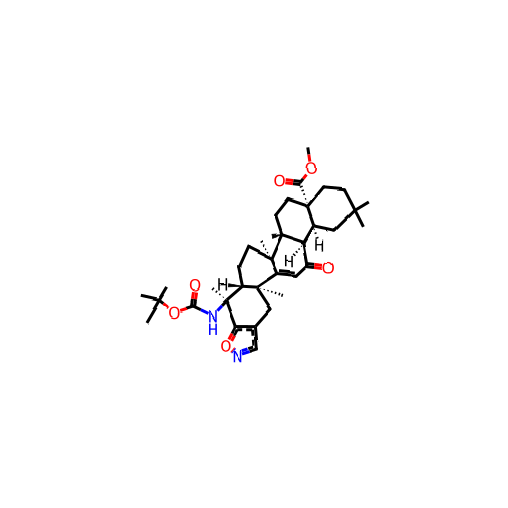 COC(=O)[C@]12CCC(C)(C)C[C@H]1[C@H]1C(=O)C=C3[C@@]4(C)Cc5cnoc5[C@@](C)(NC(=O)OC(C)(C)C)[C@@H]4CC[C@@]3(C)[C@]1(C)CC2